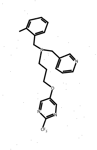 Cc1ccccc1CN(CCCOc1cnc(C(F)(F)F)nc1)Cc1cccnc1